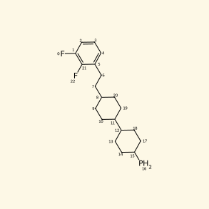 Fc1cccc(CCC2CCC(C3CCC(P)CC3)CC2)c1F